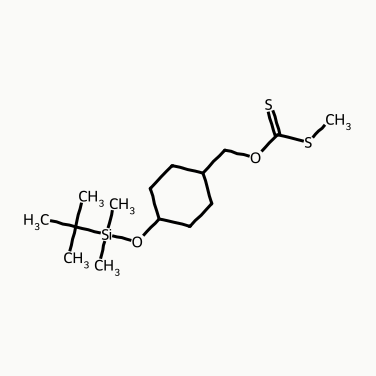 CSC(=S)OCC1CCC(O[Si](C)(C)C(C)(C)C)CC1